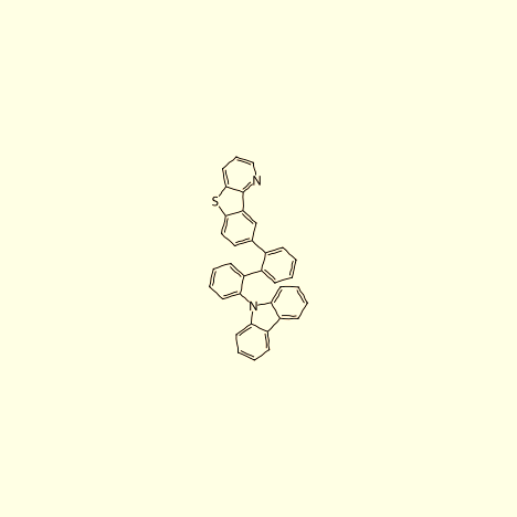 c1ccc(-c2ccccc2-n2c3ccccc3c3ccccc32)c(-c2ccc3sc4cccnc4c3c2)c1